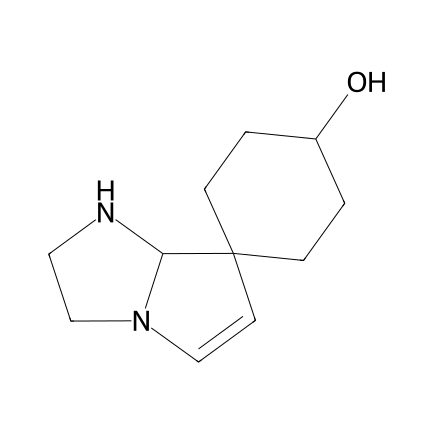 OC1CCC2(C=CN3CCNC32)CC1